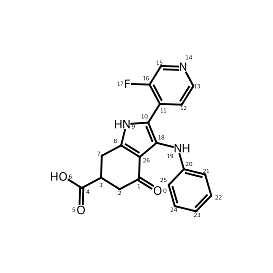 O=C1CC(C(=O)O)Cc2[nH]c(-c3ccncc3F)c(Nc3ccccc3)c21